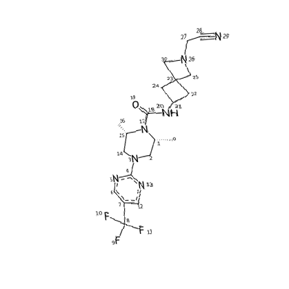 C[C@@H]1CN(c2ncc(C(F)(F)F)cn2)C[C@H](C)N1C(=O)NC1CC2(C1)CN(CC#N)C2